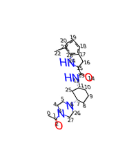 CC(=O)N1CCN([C@H]2CCC[C@@H](NC(=O)C3Cc4cccc(C)c4N3)C2)CC1